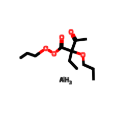 CCCOOC(=O)C(CC)(OCCC)C(C)=O.[AlH3]